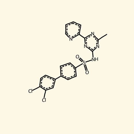 Cc1nc(NS(=O)(=O)c2ccc(-c3ccc(Cl)c(Cl)c3)cc2)nc(-c2ccccn2)n1